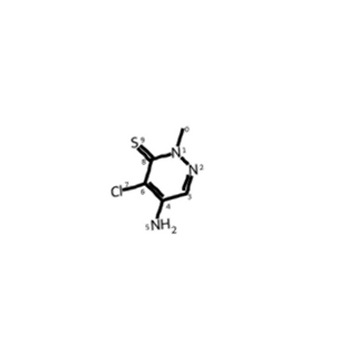 Cn1ncc(N)c(Cl)c1=S